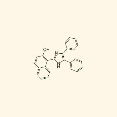 Oc1ccc2ccccc2c1-c1nc(-c2ccccc2)c(-c2ccccc2)[nH]1